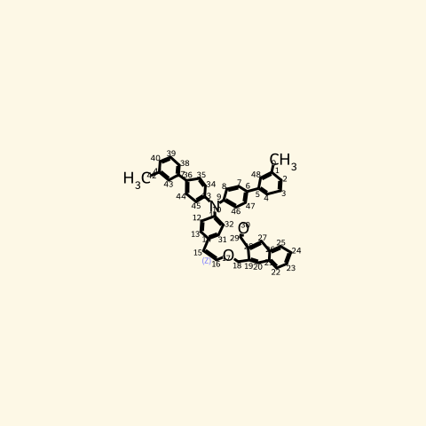 Cc1cccc(-c2ccc(N(c3ccc(/C=C\OCc4cc5ccccc5cc4C=O)cc3)c3ccc(-c4cccc(C)c4)cc3)cc2)c1